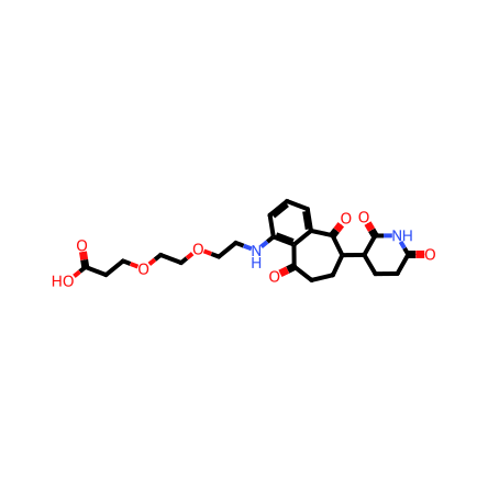 O=C(O)CCOCCOCCNc1cccc2c1C(=O)CCC(C1CCC(=O)NC1=O)C2=O